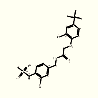 CC(C)(C)c1ccc(OCC(=O)NCc2ccc(NS(C)(=O)=O)c(F)c2)c(Cl)c1